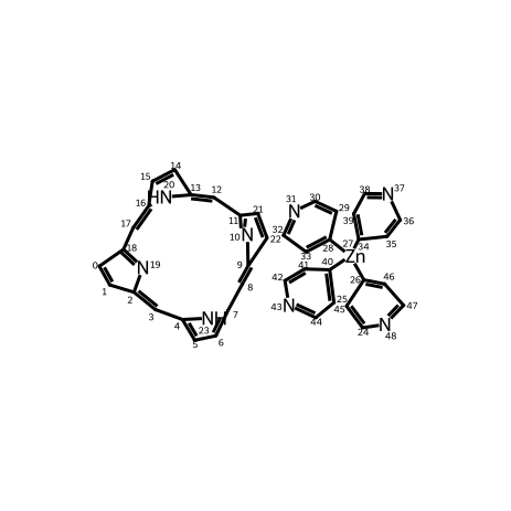 C1=Cc2cc3ccc(cc4nc(cc5ccc(cc1n2)[nH]5)C=C4)[nH]3.c1c[c]([Zn]([c]2ccncc2)([c]2ccncc2)[c]2ccncc2)ccn1